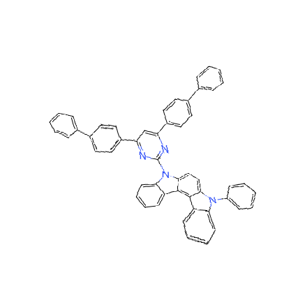 c1ccc(-c2ccc(-c3cc(-c4ccc(-c5ccccc5)cc4)nc(-n4c5ccccc5c5c6c7ccccc7n(-c7ccccc7)c6ccc54)n3)cc2)cc1